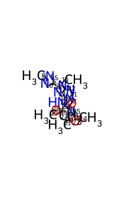 CCn1c(-c2cnc(C)nc2)nc2c(N[C@H](C(=O)N3C[C@@H](C)O[C@@H](C)C3)[C@@H](C)OC)ncnc21